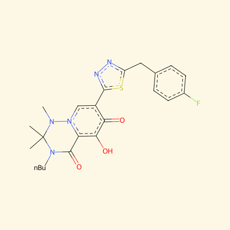 CCCCN1C(=O)c2c(O)c(=O)c(-c3nnc(Cc4ccc(F)cc4)s3)cn2N(C)C1(C)C